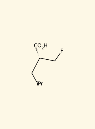 CC(C)C[C@@H](CF)C(=O)O